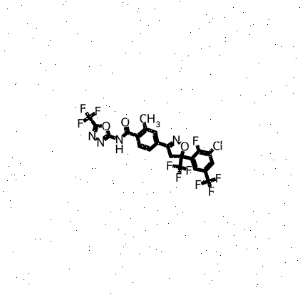 Cc1cc(C2=NOC(c3cc(C(F)(F)F)cc(Cl)c3F)(C(F)(F)F)C2)ccc1C(=O)Nc1nnc(C(F)(F)F)o1